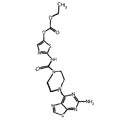 CCOC(=O)Oc1cnc(NC(=O)N2CCN(c3nc(N)nc4scnc34)CC2)s1